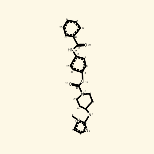 Cn1ccnc1SC1CCN(C(=O)Oc2ccc(NC(=O)c3ccccc3)cc2)CC1